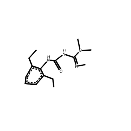 CCc1cccc(CC)c1NC(=O)NC(=NC)N(C)C